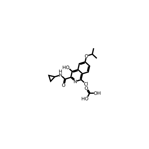 CC(C)Oc1ccc2c(Cl)nc(C(=O)NC3CC3)c(O)c2c1.O=C(O)O